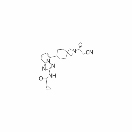 N#CCC(=O)N1CC2(CCC(c3cccc4nc(NC(=O)C5CC5)nn34)CC2)C1